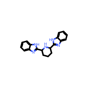 c1ccc2[nH]c(C3CCCC(c4nc5ccccc5[nH]4)N3)nc2c1